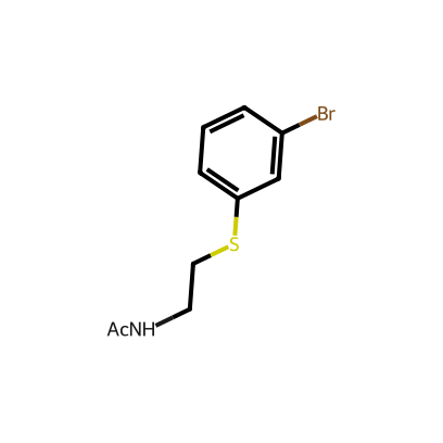 CC(=O)NCCSc1cccc(Br)c1